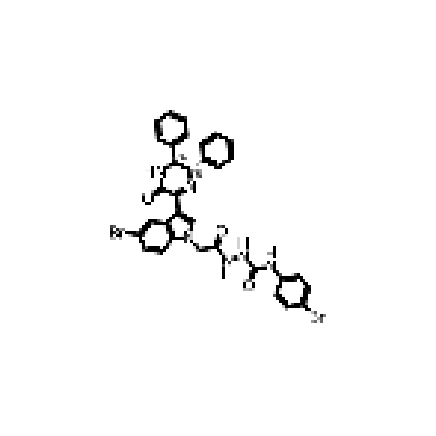 O=C(Cn1cc(C2=N[C@@H](c3ccccc3)[C@H](c3ccccc3)NC2=O)c2cc(Br)ccc21)NNC(=O)Nc1ccc(Br)cc1